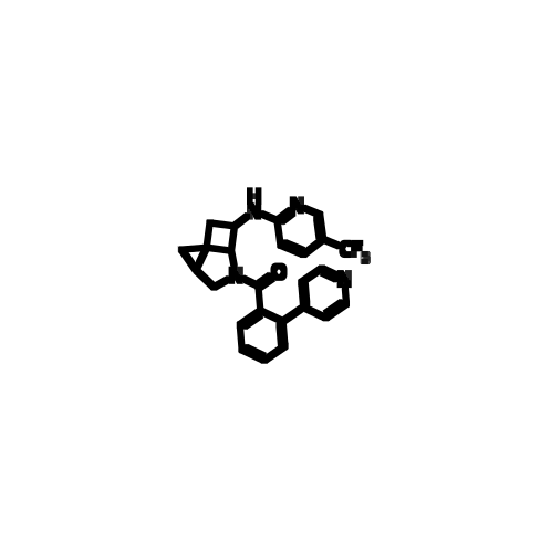 O=C(c1ccccc1-c1ccncc1)N1CC2CC23CC(Nc2ccc(C(F)(F)F)cn2)C13